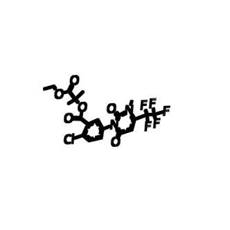 CCOC(=O)C(C)(C)OC(=O)c1cc(-n2c(=O)cc(C(F)(F)C(F)(F)F)n(C)c2=O)ccc1Cl